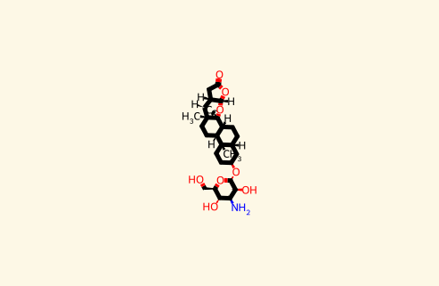 C[C@]12CC[C@H](O[C@H]3O[C@H](CO)[C@@H](O)[C@H](N)[C@@H]3O)C[C@H]1CC[C@@H]1[C@@H]2CC[C@]2(C)[C@@H]3CC[C@]12O[C@H]1OC(=O)C[C@H]13